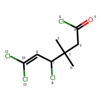 CC(C)(CC(=O)Cl)C(Cl)C=C(Cl)Cl